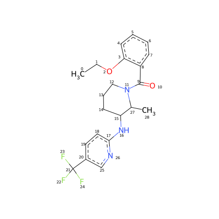 CCOc1ccccc1C(=O)N1CCCC(Nc2ccc(C(F)(F)F)cn2)C1C